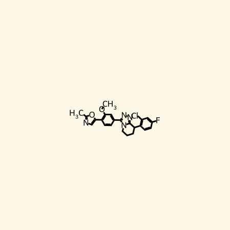 COc1cc(-c2nnc3n2CCCC3c2ccc(F)cc2Cl)ccc1-c1cnc(C)o1